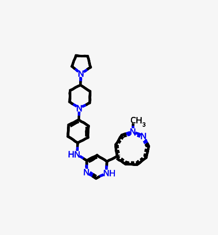 Cn1ccc(C2C=C(NC3C=CC(N4CCC(N5CCCC5)CC4)=CC3)N=CN2)ccccn1